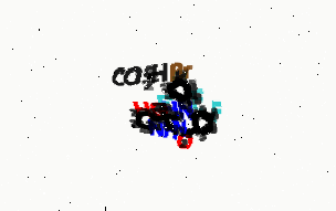 CC(=O)O.O=C(c1ccc(F)c(F)c1Nc1ccc(Br)cc1F)N1CC(O)(C2CCCCN2)C1